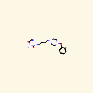 Cn1c(=O)cnn(CCCCN2CCN(C(=O)c3ccccc3F)CC2)c1=O